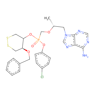 C[C@H](Cn1cnc2c(N)ncnc21)OCP(=O)(Oc1ccc(Cl)cc1)OC1CSSC[C@@H]1OCc1ccccc1